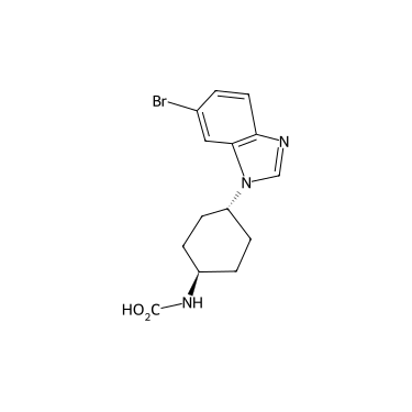 O=C(O)N[C@H]1CC[C@H](n2cnc3ccc(Br)cc32)CC1